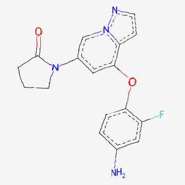 Nc1ccc(Oc2cc(N3CCCC3=O)cn3nccc23)c(F)c1